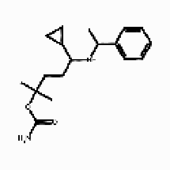 CC(NC(CCC(C)(C)OC(N)=O)C1CC1)c1ccccc1